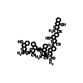 N#CC(=Cc1c(O)ccc2c1CCCC2)C(N)=O.N#CC(=Cc1cc(O)c2c(c1)CCCC2)C(N)=O.N#CC(=Cc1cc(O)cc2c1CCCC2)C(N)=O.N#CC(=Cc1cc2c(cc1O)CCCC2)C(N)=O.N#CC(=Cc1ccc(O)c2c1CCCC2)C(N)=O.N#CC(=Cc1ccc2c(c1O)CCCC2)C(N)=O